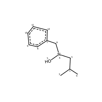 CC(C)CN(O)Cc1ccccc1